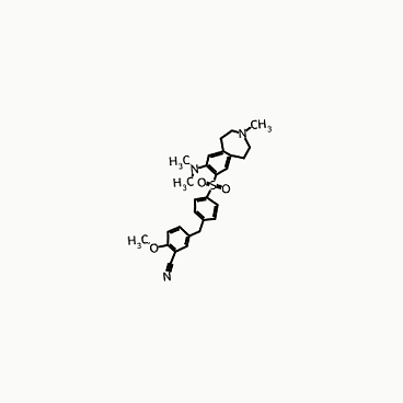 COc1ccc(Cc2ccc(S(=O)(=O)c3cc4c(cc3N(C)C)CCN(C)CC4)cc2)cc1C#N